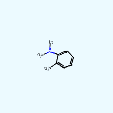 CCN(c1ccccc1[N+](=O)[O-])[N+](=O)[O-]